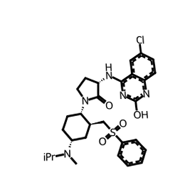 CC(C)N(C)[C@@H]1CC[C@H](N2CC[C@H](Nc3nc(O)nc4ccc(Cl)cc34)C2=O)[C@@H](CS(=O)(=O)c2ccccc2)C1